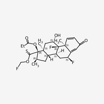 CCC(=O)O[C@]1(C(=S)OCF)[C@H](C)C[C@H]2[C@@H]3C[C@H](F)C4=CC(=O)C=C[C@]4(C)[C@@]3(F)[C@@H](O)C[C@@]21C